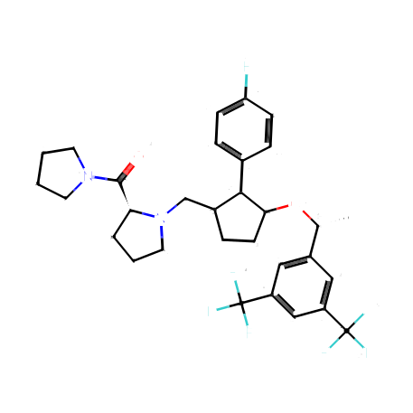 C[C@@H](OC1CCC(CN2CCC[C@H]2C(=O)N2CCCC2)C1c1ccc(F)cc1)c1cc(C(F)(F)F)cc(C(F)(F)F)c1